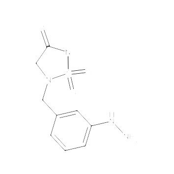 NNc1cccc(CN2CC(=O)NS2(=O)=O)c1